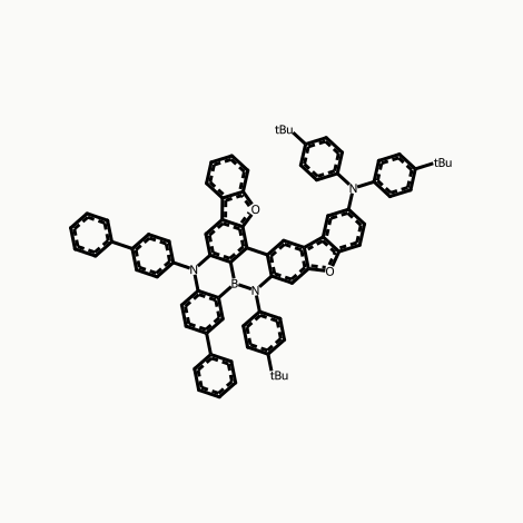 CC(C)(C)c1ccc(N2B3c4cc(-c5ccccc5)ccc4N(c4ccc(-c5ccccc5)cc4)c4cc5c(oc6ccccc65)c(c43)-c3cc4c(cc32)oc2ccc(N(c3ccc(C(C)(C)C)cc3)c3ccc(C(C)(C)C)cc3)cc24)cc1